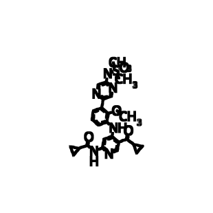 COc1c(Nc2cc(NC(=O)C3CC3)ncc2C(=O)C2CC2)cccc1-c1cnc(N=S(C)(C)=O)cn1